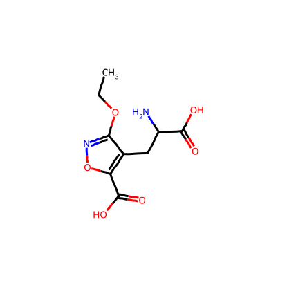 CCOc1noc(C(=O)O)c1CC(N)C(=O)O